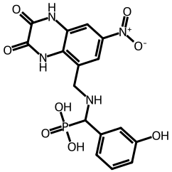 O=c1[nH]c2cc([N+](=O)[O-])cc(CNC(c3cccc(O)c3)P(=O)(O)O)c2[nH]c1=O